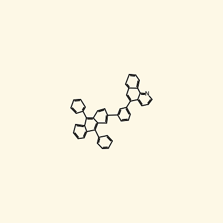 c1ccc(-c2c3ccccc3c(-c3ccccc3)c3cc(-c4cccc(-c5cc6ccccc6c6ncccc56)c4)ccc23)cc1